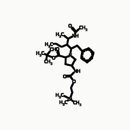 CCCC(C(C)NC(C)=O)C(Cc1ccccc1)N1CC(NC(=O)OCC[Si](C)(C)C)CC1C(=O)OC(C)(C)C